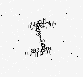 Cc1c2c(C(=O)NCCN(C)C)nccc2c(C)c2c1c1cc(OC(=O)CCCCC(=O)Oc3ccc4c(c3)c3c(C)c5c(C(=O)NCCN(C)C)nccc5c(C)c3n4C)ccc1n2C